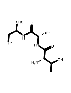 CC(C)C[C@@H]([C]=O)NC(=O)[C@@H](NC(=O)[C@@H](N)C(C)O)C(C)C